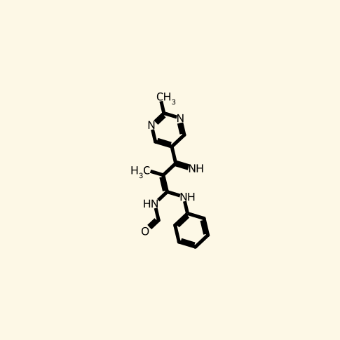 C/C(C(=N)c1cnc(C)nc1)=C(\NC=O)Nc1ccccc1